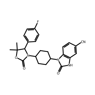 CC1(C)OC(=O)N(C2CCC(n3c(=O)[nH]c4cc(C#N)ccc43)CC2)C1c1ccc(F)cc1